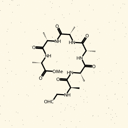 COC(=O)[C@H](C)NC(=O)[C@H](C)NC(=O)[C@H](C)NC(=O)[C@H](C)NC(=O)[C@H](C)NC(=O)[C@@H](C)NCC=O